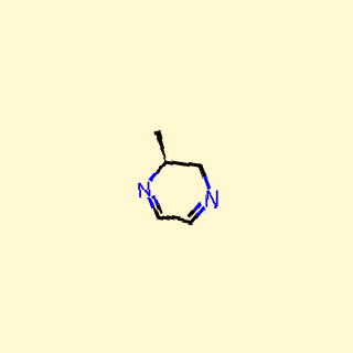 C[C@H]1CN=CC=N1